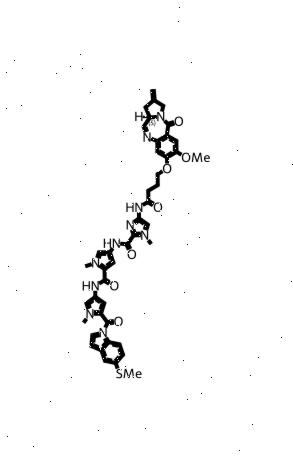 C=C1C[C@H]2C=Nc3cc(OCCCC(=O)Nc4cn(C)c(C(=O)Nc5cc(C(=O)Nc6cc(C(=O)n7ccc8cc(SC)ccc87)n(C)c6)n(C)c5)n4)c(OC)cc3C(=O)N2C1